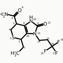 CCC1SCC(C(N)=O)c2[nH]c(=O)n(CCC(F)(F)F)c21